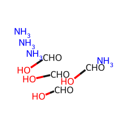 N.N.N.N.O=CO.O=CO.O=CO.O=CO